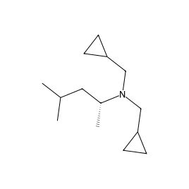 CC(C)C[C@@H](C)N(CC1CC1)CC1CC1